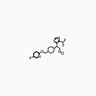 O=NCC(c1scnc1C(F)F)N1CCC(COc2ccc(F)cn2)CC1